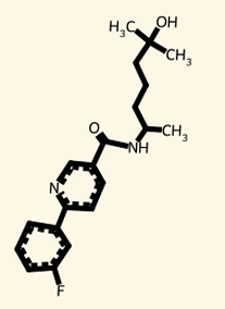 CC(CCCC(C)(C)O)NC(=O)c1ccc(-c2cccc(F)c2)nc1